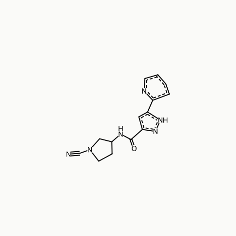 N#CN1CCC(NC(=O)c2cc(-c3ccccn3)[nH]n2)C1